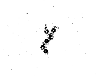 COc1ccc(Cn2nc(OC3CCN(CCF)CC3)c3c(Oc4ccc(NC(=O)c5ccnn(-c6ccc(F)cc6)c5=O)cc4F)ccnc32)cc1